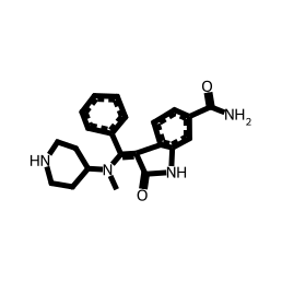 CN(/C(=C1\C(=O)Nc2cc(C(N)=O)ccc21)c1ccccc1)C1CCNCC1